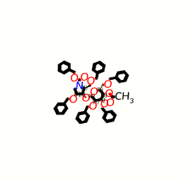 CC(=O)O[C@@H]1[C@H](OCc2ccccc2)[C@@H](OCc2ccccc2)[C@@H](O[C@H]2[C@@H](OCc3ccccc3)CN(C(=O)OCc3ccccc3)[C@H]2COCc2ccccc2)O[C@@H]1COCc1ccccc1